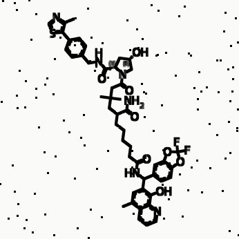 Cc1ncsc1-c1ccc(CNC(=O)[C@H]2C[C@@H](O)CN2C(=O)CC(C)(C)CC(CCCCCC(=O)NC(c2ccc3c(c2)OC(F)(F)O3)c2cc(C)c3cccnc3c2O)C(N)=O)cc1